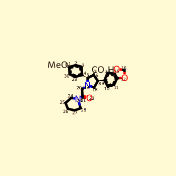 COc1ccc([C@@H]2[C@@H](C(=O)O)[C@@H](c3ccc4c(c3)OCO4)CN2CC(=O)N2CCCCC2)cc1